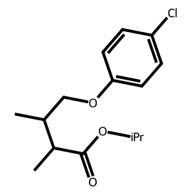 CC(C)OC(=O)C(C)C(C)COc1ccc(Cl)cc1